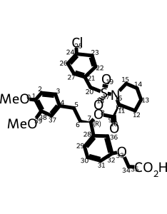 COc1ccc(CC[C@@H](OC(=O)[C@@H]2CCCCN2S(=O)(=O)Cc2ccc(Cl)cc2)c2cccc(OCC(=O)O)c2)cc1OC